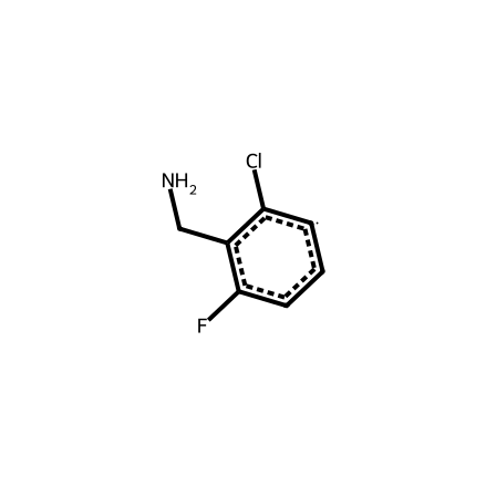 NCc1c(Cl)[c]ccc1F